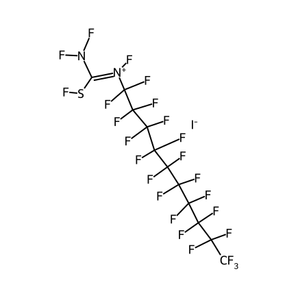 FSC(N(F)F)=[N+](F)C(F)(F)C(F)(F)C(F)(F)C(F)(F)C(F)(F)C(F)(F)C(F)(F)C(F)(F)C(F)(F)C(F)(F)F.[I-]